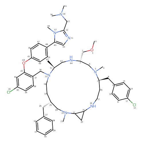 COC[C@@H]1CN(C)[C@@H](Cc2ccc(Cl)cc2)CCNC2CC2N(C)C[C@H](Cc2ccccc2)CCN(Cc2ccc(Cl)cc2Oc2ccc(-c3cnc(CN(C)C)n3C)cc2)[C@@H](C)CN1